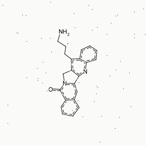 NCCCc1c2c(nc3ccccc13)-c1cc3ccccc3c(=O)n1C2